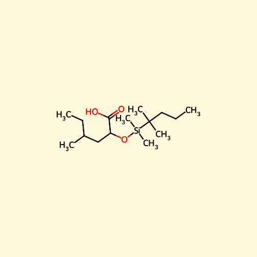 CCCC(C)(C)[Si](C)(C)OC(CC(C)CC)C(=O)O